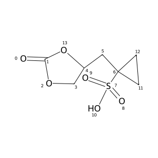 O=C1OCC(CC2(S(=O)(=O)O)CC2)O1